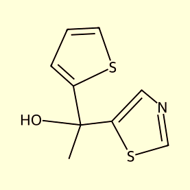 CC(O)(c1cccs1)c1cncs1